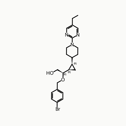 CCc1cnc(N2CCC([C@H]3C[C@H]3[C@H](CO)OCc3ccc(Br)cc3)CC2)nc1